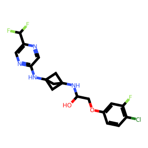 OC(COc1ccc(Cl)c(F)c1)NC12CC(Nc3cnc(C(F)F)cn3)(C1)C2